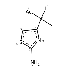 [CH2]C(I)(C(C)=O)c1csc(N)n1